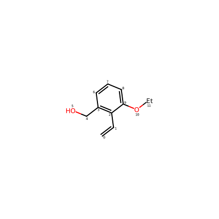 C=Cc1c(CO)cccc1OCC